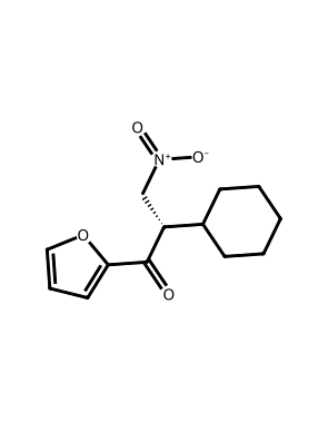 O=C(c1ccco1)[C@H](C[N+](=O)[O-])C1CCCCC1